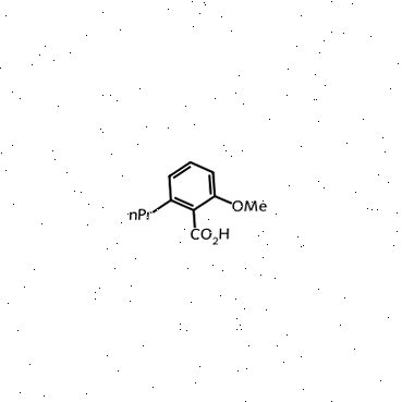 CCCc1cccc(OC)c1C(=O)O